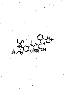 C=CC(=O)Nc1cc(Nc2ncc(C#N)c(Nc3ccccc3-c3ccn(C)n3)n2)c(OC)cc1N(C)CCN(C)C